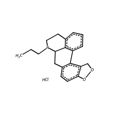 CCCN1CCc2cccc3c2C1Cc1ccc2c(c1-3)COO2.Cl